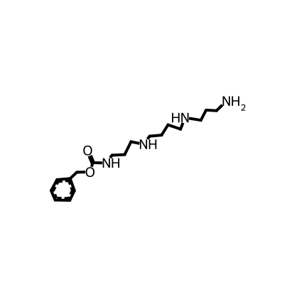 NCCCNCCCCNCCCNC(=O)OCc1ccccc1